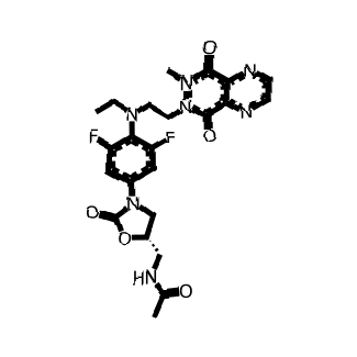 CCN(CCn1c(=O)c2nccnc2c(=O)n1C)c1c(F)cc(N2C[C@H](CNC(C)=O)OC2=O)cc1F